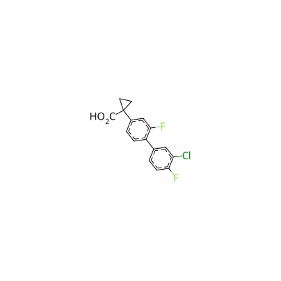 O=C(O)C1(c2ccc(-c3ccc(F)c(Cl)c3)c(F)c2)CC1